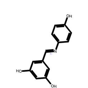 Oc1ccc(/N=C/c2cc(O)cc(O)c2)cc1